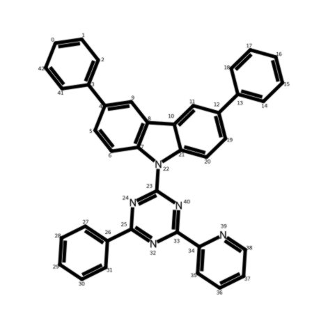 c1ccc(-c2ccc3c(c2)c2cc(-c4ccccc4)ccc2n3-c2nc(-c3ccccc3)nc(-c3ccccn3)n2)cc1